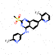 CS(=O)(=O)c1nc(Nc2ccc(C(F)(F)F)nc2)c2ccc(-c3ncccc3C(F)(F)F)cc2n1